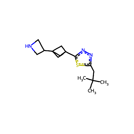 CC(C)(C)Cc1nnc(C23CC(C4CNC4)(C2)C3)s1